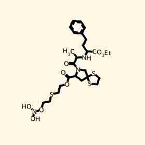 CCOC(=O)C(CCc1ccccc1)NC(C)C(=O)N1CC2(CC1C(=O)OCCSCCON(O)O)SCCS2